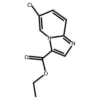 CCOC(=O)c1cnc2ccc(Cl)cn12